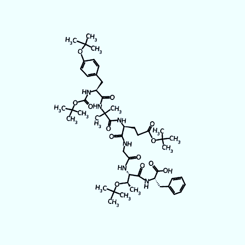 C[C@@H](OC(C)(C)C)[C@H](NC(=O)CNC(=O)[C@H](CCC(=O)OC(C)(C)C)NC(=O)C(C)(C)NC(=O)[C@H](Cc1ccc(OC(C)(C)C)cc1)NC(=O)OC(C)(C)C)C(=O)N[C@@H](Cc1ccccc1)C(=O)O